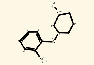 O=[N+]([O-])c1ccccc1N[C@@H]1CCC[C@@H](O)C1